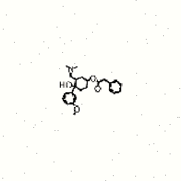 COc1cccc(C2(O)CCC(OC(=O)Cc3ccccc3)CC2CN(C)C)c1